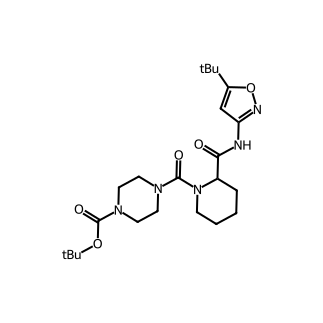 CC(C)(C)OC(=O)N1CCN(C(=O)N2CCCCC2C(=O)Nc2cc(C(C)(C)C)on2)CC1